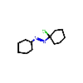 ClC1(/N=N/C2CCCCC2)CCCCC1